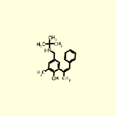 CC(=Cc1ccccc1)c1cc(CNC(C)(C)C)cc(C)c1O